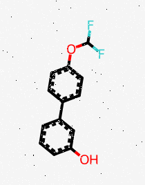 Oc1cccc(-c2ccc(OC(F)F)cc2)c1